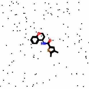 Cc1cc(C(=O)N[C@H]2CCOc3ccccc32)sc1C